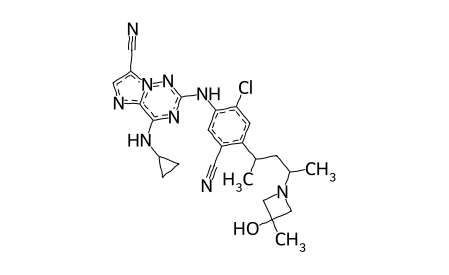 CC(CC(C)N1CC(C)(O)C1)c1cc(Cl)c(Nc2nc(NC3CC3)c3ncc(C#N)n3n2)cc1C#N